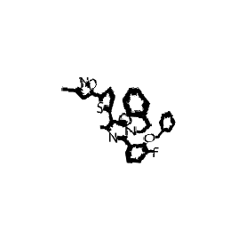 Cc1cc(-c2ccc(-c3c(C)nc(-c4cccc(F)c4OCc4ccccc4)n(CCc4ccccc4)c3=O)s2)on1